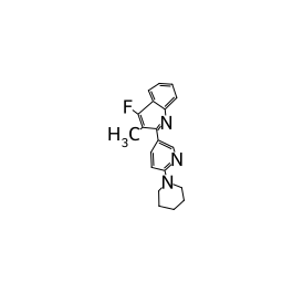 Cc1c(-c2ccc(N3CCCCC3)nc2)nc2ccccc2c1F